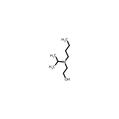 CCCCN(CCO)C(C)C